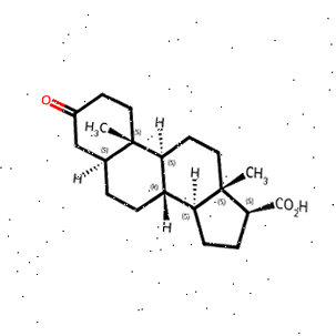 C[C@]12CCC(=O)C[C@@H]1CC[C@@H]1[C@@H]2CC[C@]2(C)[C@@H](C(=O)O)CC[C@@H]12